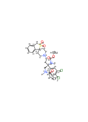 CN(C[C@](CCN1CCC2(CC1)c1ccccc1CS2(=O)=O)(c1ccc(Cl)c(Cl)c1)N(C)C(=O)OC(C)(C)C)C(=O)CC(F)(F)F